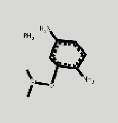 CP(C)Oc1cc(N)ccc1N.P